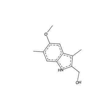 COc1cc2c(C)c(CO)[nH]c2cc1C